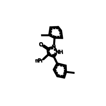 CCCc1c(-c2cccc(C)c2)[nH]n(-c2ccccc2C)c1=O